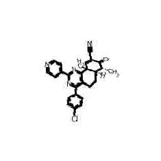 C[C@H]1C(=O)C(C#N)=C[C@@]2(C)c3nc(-c4ccncc4)nc(-c4ccc(Cl)cc4)c3CC[C@H]12